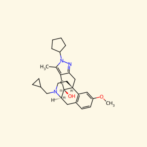 COc1ccc2c(c1)[C@]13CCN(CC4CC4)[C@H](C2)[C@]1(O)Cc1c(nn(C2CCCC2)c1C)C3